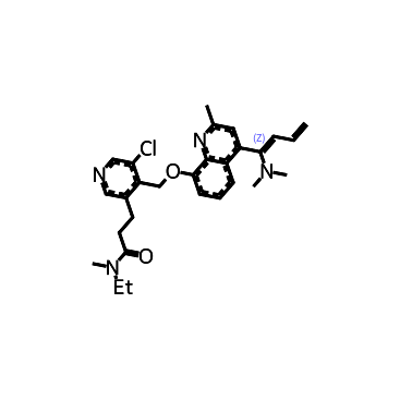 C=C/C=C(/c1cc(C)nc2c(OCc3c(Cl)cncc3CCC(=O)N(C)CC)cccc12)N(C)C